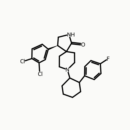 O=C1NC[C@H](c2ccc(Cl)c(Cl)c2)C12CCN(C1CCCCC1c1ccc(F)cc1)CC2